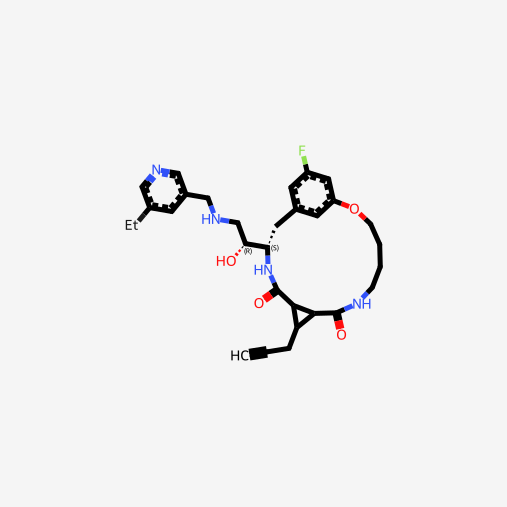 C#CCC1C2C(=O)NCCCCOc3cc(F)cc(c3)C[C@@H]([C@H](O)CNCc3cncc(CC)c3)NC(=O)C12